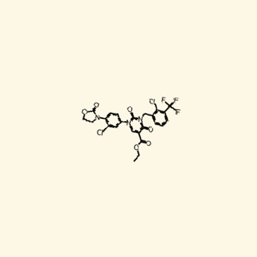 CCOC(=O)c1cn(-c2ccc(N3CCOC3=O)c(Cl)c2)c(=O)n(Cc2cccc(C(F)(F)F)c2Cl)c1=O